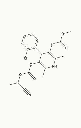 COC(=O)OC1=C(C)NC(C)=C(OC(=O)OC(C)C#N)C1c1ccccc1Cl